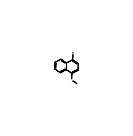 CSc1ccc([O])c2ccccc12